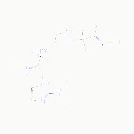 CC(=NO)C(C)(C)NN(C)CCNC(C)(C)C(Cn1ccnc1[N+](=O)[O-])=NO